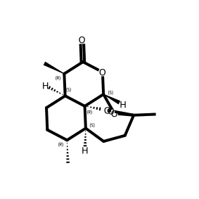 C[C@@H]1CC[C@H]2[C@@H](C)C(=O)O[C@@H]3OC4(C)CC[C@@H]1[C@]32OO4